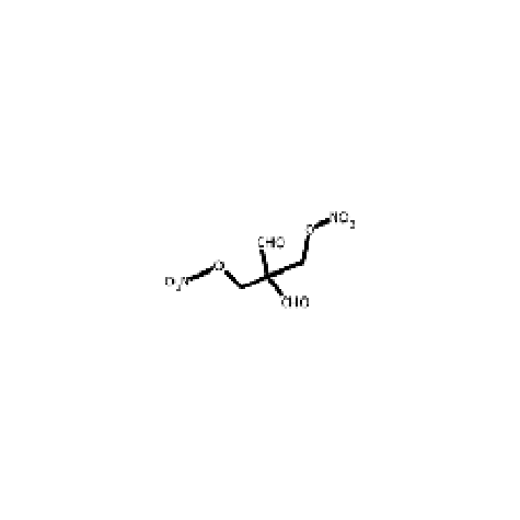 O=CC(C=O)(CO[N+](=O)[O-])CO[N+](=O)[O-]